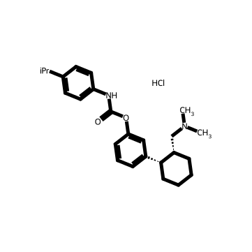 CC(C)c1ccc(NC(=O)Oc2cccc([C@H]3CCCC[C@H]3CN(C)C)c2)cc1.Cl